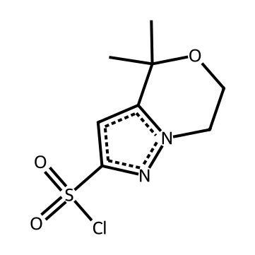 CC1(C)OCCn2nc(S(=O)(=O)Cl)cc21